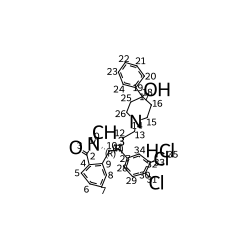 CN1C(=O)c2ccccc2[C@H]1[C@H](CCN1CCC(O)(c2ccccc2)CC1)c1ccc(Cl)c(Cl)c1.Cl